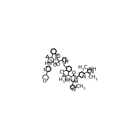 Cc1n[nH]c(C)c1-c1ccc(NC(=O)[C@@H](NC(=O)c2ccnn2C)C(c2cccc(Cn3nccc3C(=O)N[C@H](C(=O)Nc3ccc(C4CCOCC4)nc3)C(c3ccccc3Cl)C3(C)CC3)c2Cl)C2(C)CC2)cn1